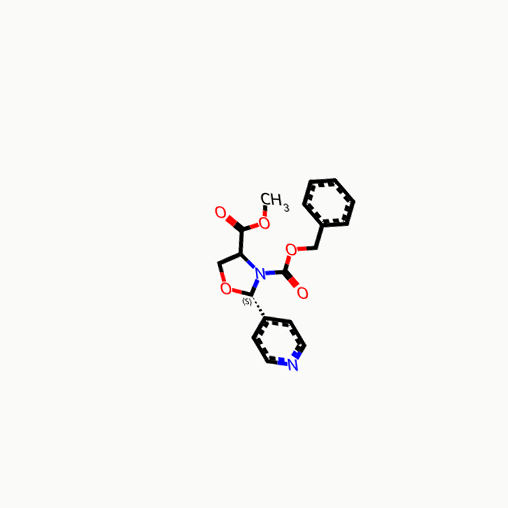 COC(=O)C1CO[C@@H](c2ccncc2)N1C(=O)OCc1ccccc1